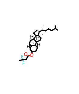 CC(C)CCC[C@@H](C)[C@H]1CC[C@H]2[C@@H]3CC[C@H]4CC(OC(=O)CC(C)(F)F)CC[C@]4(C)[C@H]3CC[C@]12C